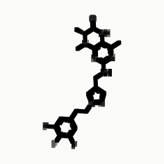 Cc1nc(NCc2cnn(CCc3cc(F)c(F)c(F)c3)c2)nc2c1NC(=O)[C@H](C)N2C